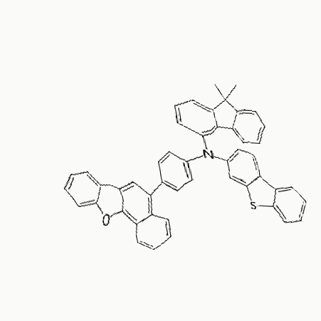 CC1(C)c2ccccc2-c2c(N(c3ccc(-c4cc5c6ccccc6oc5c5ccccc45)cc3)c3ccc4c(c3)sc3ccccc34)cccc21